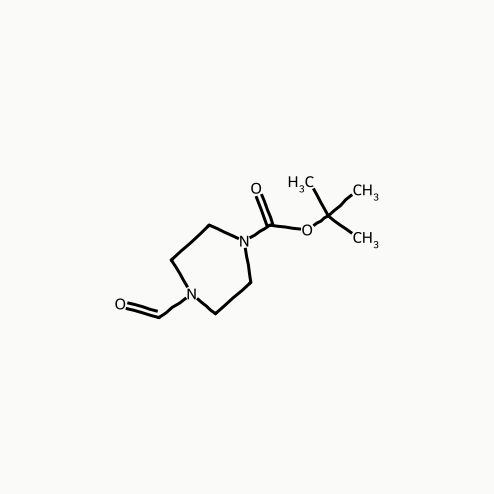 CC(C)(C)OC(=O)N1CCN(C=O)CC1